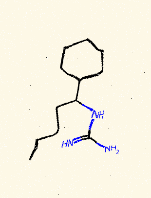 CCCCC(NC(=N)N)C1CCCCC1